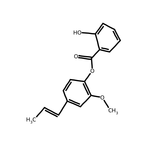 C/C=C/c1ccc(OC(=O)c2ccccc2O)c(OC)c1